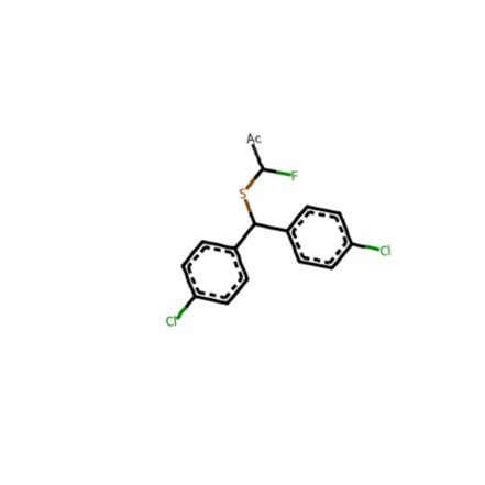 CC(=O)C(F)SC(c1ccc(Cl)cc1)c1ccc(Cl)cc1